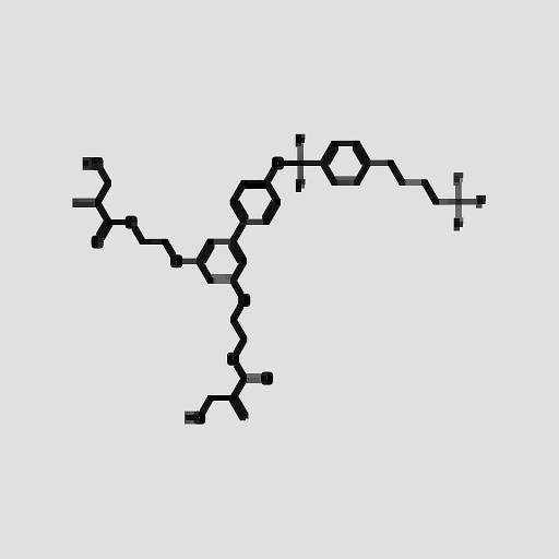 C=C(CO)C(=O)OCCOc1cc(OCCOC(=O)C(=C)CO)cc(-c2ccc(OC(F)(F)c3ccc(CCCCC(F)(F)F)cc3)cc2)c1